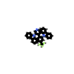 FC(F)(F)c1ccc(-c2ccncc2-n2c3ccccc3c3ccccc32)c(-n2c3ccccc3c3ccccc32)c1